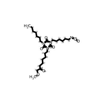 CCCCCCCn1c(=O)n(CCCCCCN=C=O)c(=O)n(CCCCCCC(=O)COC)c1=O